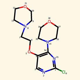 Clc1ncc(OCCN2CCOCC2)c(N2CCOCC2)n1